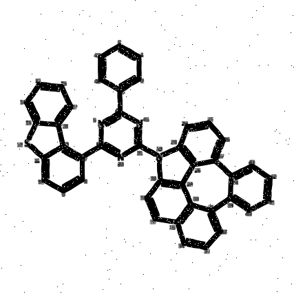 c1ccc(-c2nc(-c3cccc4sc5ccccc5c34)nc(-n3c4cccc5c4c4c6c(cccc6ccc43)-c3ccccc3-5)n2)cc1